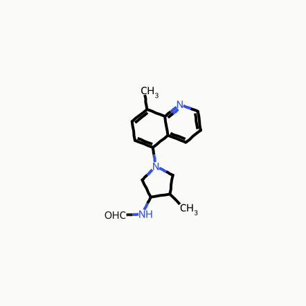 Cc1ccc(N2CC(C)C(NC=O)C2)c2cccnc12